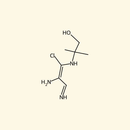 CC(C)(CO)N/C(Cl)=C(/N)C=N